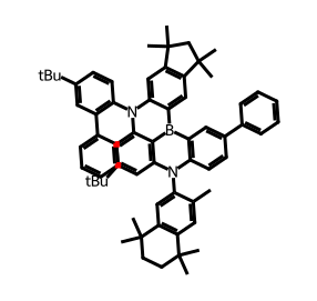 Cc1cc2c(cc1N1c3ccc(-c4ccccc4)cc3B3c4cc5c(cc4N(c4ccc(C(C)(C)C)cc4-c4ccccc4)c4cc(C(C)(C)C)cc1c43)C(C)(C)CC5(C)C)C(C)(C)CCC2(C)C